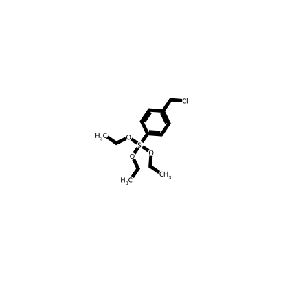 CCO[Si](OCC)(OCC)c1ccc(CCl)cc1